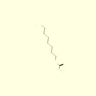 [CH2]OC(=O)OCCCCCCCCCCCCCC